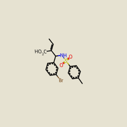 CC=C(C(=O)O)C(NS(=O)(=O)c1ccc(C)cc1)c1cccc(Br)c1